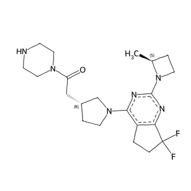 C[C@H]1CCN1c1nc(N2CC[C@H](CC(=O)N3CCNCC3)C2)c2c(n1)C(F)(F)CC2